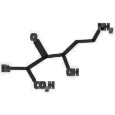 CCC(C(=O)O)C(=O)C(O)CCN